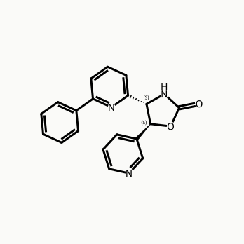 O=C1N[C@@H](c2cccc(-c3ccccc3)n2)[C@H](c2cccnc2)O1